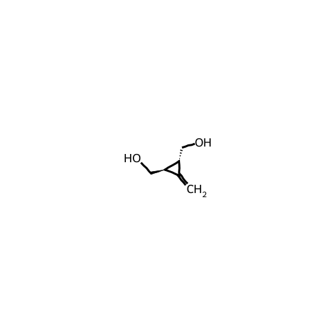 C=C1[C@@H](CO)[C@@H]1CO